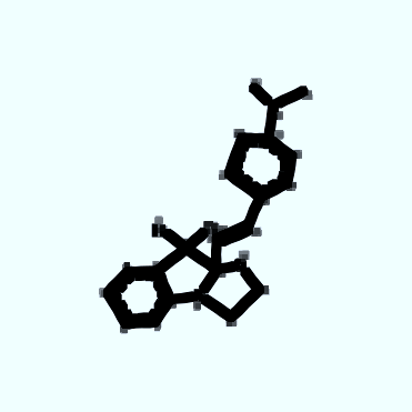 CCC1(CC)c2ccccc2N2CCOC21C=Cc1ccc(N(C)C)cc1